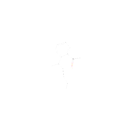 CCCCC(C)c1ccccc1C(C)=O